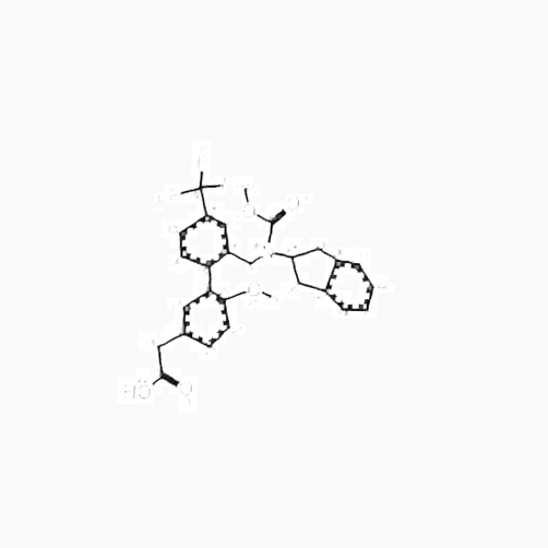 COC(=O)N(Cc1cc(C(F)(F)F)ccc1-c1cc(CC(=O)O)ccc1OC)C1Cc2ccccc2C1